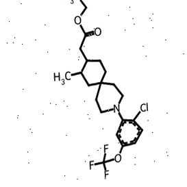 CCOC(=O)CC1CCC2(CCN(c3cc(OC(F)(F)F)ccc3Cl)CC2)CC1C